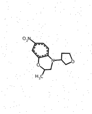 CC1CN(C2CCOC2)c2ccc([N+](=O)[O-])cc2O1